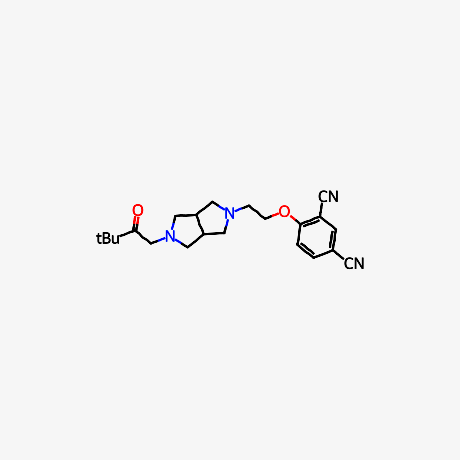 CC(C)(C)C(=O)CN1CC2CN(CCOc3ccc(C#N)cc3C#N)CC2C1